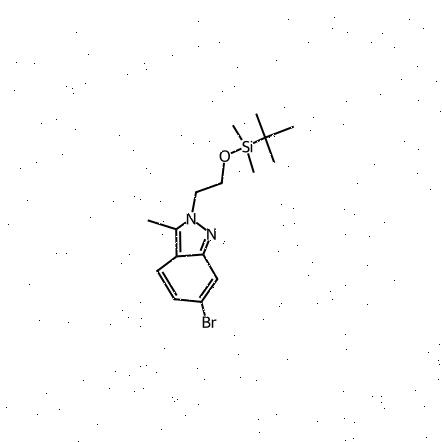 Cc1c2ccc(Br)cc2nn1CCO[Si](C)(C)C(C)(C)C